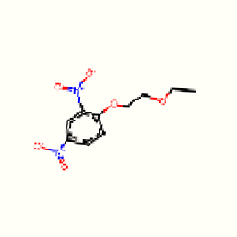 CCOCCOc1ccc([N+](=O)[O-])cc1[N+](=O)[O-]